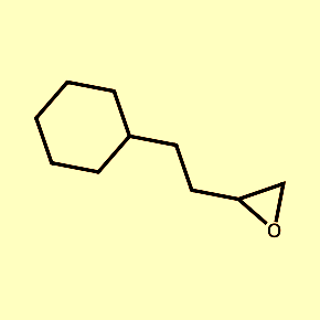 C1CCC(CCC2CO2)CC1